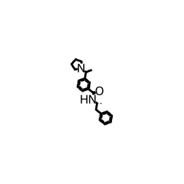 CC(c1cccc(C(=O)N[CH]Cc2ccccc2)c1)N1CCCC1